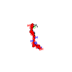 COc1cc2c(cc1OCC13CC(C(=O)N4CC(CCl)c5c4cc(O)c4cccc(C)c54)(C1)C3)N=C[C@@H]1CC(c3ccc(NC(=O)COCNC(=O)CNC(=O)[C@H](Cc4ccccc4)NC(=O)CNC(=O)CNC(=O)C(CNCC(=O)O)N4C(=O)C=CC4=O)cc3)=CN1C2=O